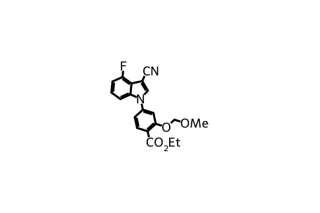 CCOC(=O)c1ccc(-n2cc(C#N)c3c(F)cccc32)cc1OCOC